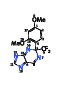 COc1ccc(C2(C(F)(F)F)N=CC3=NC=NC3=N2)c(OC)c1